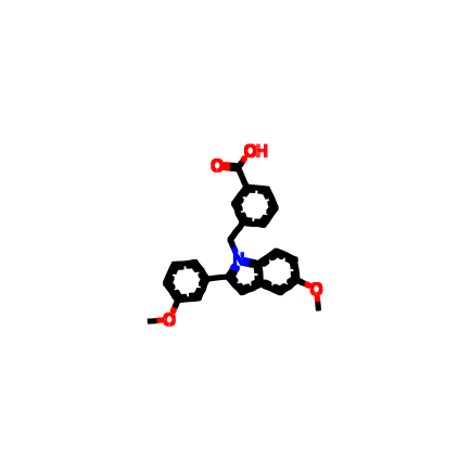 COc1cccc(-c2cc3cc(OC)ccc3n2Cc2cccc(C(=O)O)c2)c1